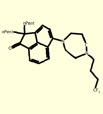 CCCCCC1(CCCCC)C(=O)c2cccc3c(N4CCCN(CCCC(F)(F)F)CC4)ccc1c23